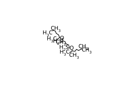 CC(C)CCCC(O[SiH2]CCC[SiH2]OC(CCCC(C)C)C(C)C)C(C)C